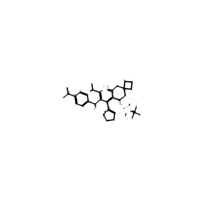 CC(C)c1ccc(C(O)c2c(C(C)C)nc3c(c2C2=CCCC2)[C@H](O[Si](C)(C)C(C)(C)C)CC2(CCC2)C3)cc1